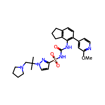 COc1cc(-c2ccc3c(c2NC(=O)NS(=O)(=O)c2ccn(C(C)(C)CN4CCCC4)n2)CCC3)ccn1